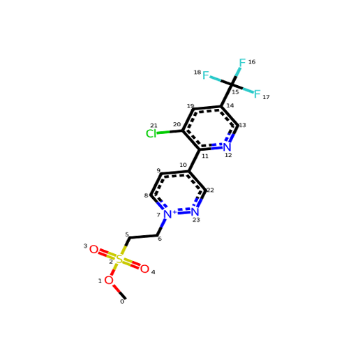 COS(=O)(=O)CC[n+]1ccc(-c2ncc(C(F)(F)F)cc2Cl)cn1